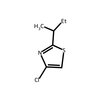 CCC(C)c1nc(Cl)cs1